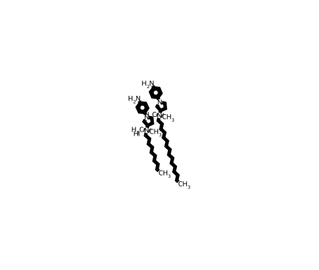 CCCCCCCCCCCCCCCC[N+](C)(C)C1CCN(c2ccc(N)cc2)C1.CCCCCCCCCC[N+](C)(C)C1CCN(c2ccc(N)cc2)C1.I